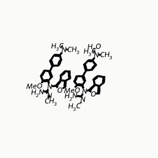 CN=C(N)N(c1cc(-c2ccc(N(C)C)cc2)ccc1OC)c1occ2ccccc12.CN=C(N)N(c1cc(-c2ccc(N(C)C)cc2)ccc1OC)c1occ2ccccc12.O